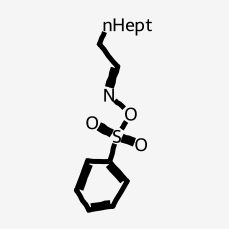 CCCCCCCC/C=N/OS(=O)(=O)c1ccccc1